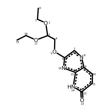 CCOC(COc1cnc2ccc(=O)[nH]c2n1)OCC